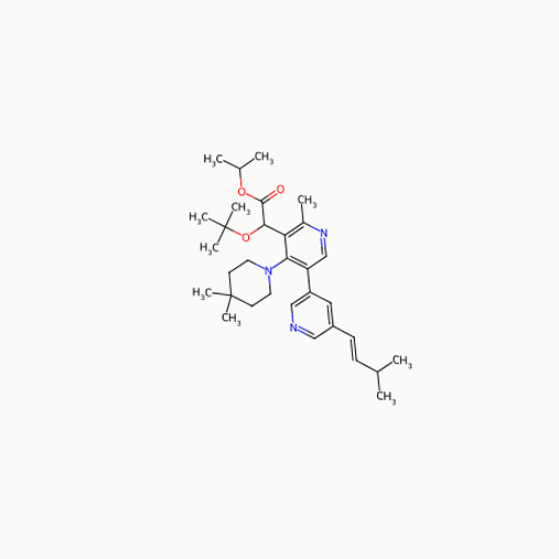 Cc1ncc(-c2cncc(C=CC(C)C)c2)c(N2CCC(C)(C)CC2)c1C(OC(C)(C)C)C(=O)OC(C)C